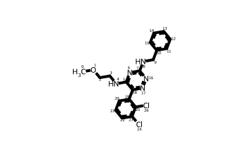 COCCNc1nc(NCc2ccccc2)nnc1-c1cccc(Cl)c1Cl